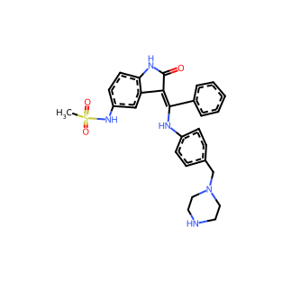 CS(=O)(=O)Nc1ccc2c(c1)C(=C(Nc1ccc(CN3CCNCC3)cc1)c1ccccc1)C(=O)N2